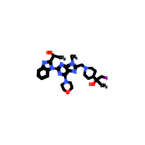 CC(O)c1nc2ccccc2n1-c1nc(N2CCOCC2)c2nc(CN3CCC(C(C)(O)CI)CC3)n(C)c2n1